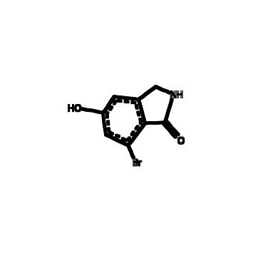 O=C1NCc2cc(O)cc(Br)c21